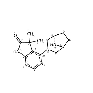 CC1(C)C(=O)Nc2ncnc(N3CC4CCC(C3)N4)c21